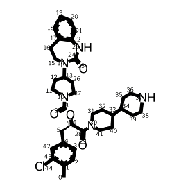 Cc1ccc(C[C@@H](OC(=O)N2CCC(N3CCc4ccccc4NC3=O)CC2)C(=O)N2CCC(C3CCNCC3)CC2)cc1Cl